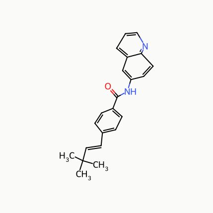 CC(C)(C)C=Cc1ccc(C(=O)Nc2ccc3ncccc3c2)cc1